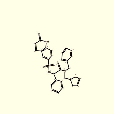 O=C(C(NS(=O)(=O)c1ccc2[nH]c(=O)ccc2c1)c1ccccc1)N(Cc1cccnc1)CC1CC=CO1